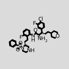 N[C@H](C(=O)Nc1cccc(F)c1CC[C@H]1CNCCN1S(=O)(=O)c1ccccc1)[C@H](CCC1CCOCC1)c1ccc(Cl)c(F)c1